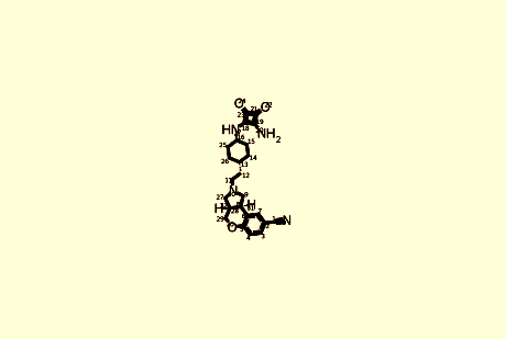 N#Cc1ccc2c(c1)[C@@H]1CN(CC[C@H]3CC[C@H](Nc4c(N)c(=O)c4=O)CC3)C[C@H]1CO2